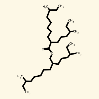 CCC(C)CCCCCC(CCCC(C)CC)COC(=O)C(CCCCCC(C)CC)CCCC(C)CC